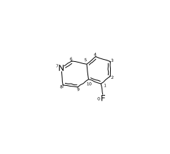 Fc1cccc2cn[c]cc12